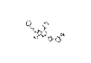 Cc1cccc(-c2ccn(-c3cc(N4CCOCC4)c4nc(COCc5ccccc5)n(C)c4n3)n2)c1